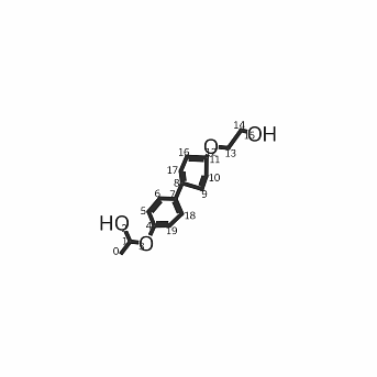 CC(O)Oc1ccc(-c2ccc(OCCO)cc2)cc1